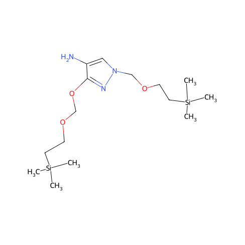 C[Si](C)(C)CCOCOc1nn(COCC[Si](C)(C)C)cc1N